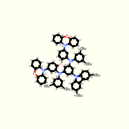 CC(C)(C)c1cc(N2c3cc(N4c5ccccc5Oc5ccccc54)ccc3B3c4ccc(N5c6ccccc6Oc6ccccc65)cc4N(c4cc(C(C)(C)C)cc(C(C)(C)C)c4)c4cc(-n5c6ccc(C(C)(C)C)cc6c6cc(C(C)(C)C)ccc65)cc2c43)cc(C(C)(C)C)c1